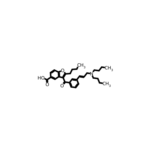 CCCCc1oc2ccc(C(=O)O)cc2c1C(=O)c1cccc(C=CCN(CCCC)CCCC)c1